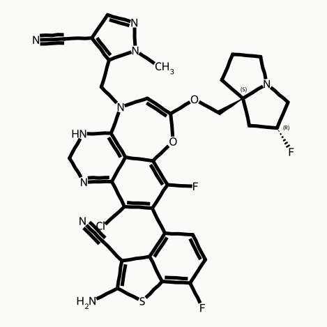 Cn1ncc(C#N)c1CN1C=C(OC[C@@]23CCCN2C[C@H](F)C3)Oc2c(F)c(-c3ccc(F)c4sc(N)c(C#N)c34)c(Cl)c3c2=C1NCN=3